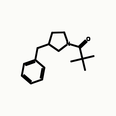 CC(C)(C)C(=O)N1CCC(Cc2ccccc2)C1